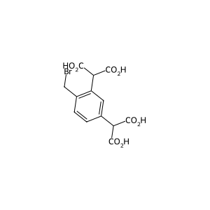 O=C(O)C(C(=O)O)c1ccc(CBr)c(C(C(=O)O)C(=O)O)c1